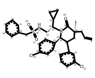 C=CC[C@@]1(C)CC(c2cccc(Cl)c2)[C@@H](c2ccc(Cl)cc2)N([C@H](CNS(=O)(=O)Cc2ccccc2)C2CC2)C1=O